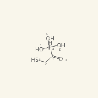 O=C(CS)[PH](O)(O)O